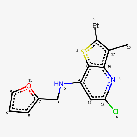 CCc1sc2c(NCc3ccco3)cc(Cl)nc2c1C